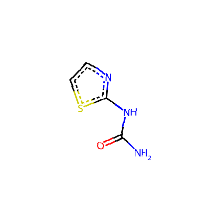 NC(=O)Nc1nccs1